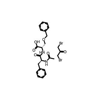 CC(=O)N[C@@H](Cc1ccccc1)C(=O)N[C@@H](COCc1ccccc1)C(=O)O.O=C(CBr)CBr